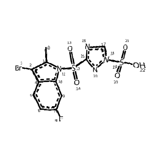 Cc1c(Br)c2ccc(F)cc2n1S(=O)(=O)c1ncn(S(=O)(=O)O)n1